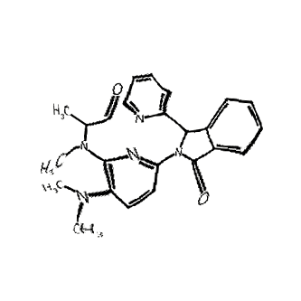 CC(C=O)N(C)c1nc(N2C(=O)c3ccccc3C2c2ccccn2)ccc1N(C)C